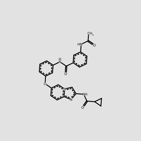 CC(=O)Nc1cccc(C(=O)Nc2cccc(Oc3ccc4nc(NC(=O)C5CC5)cn4c3)c2)c1